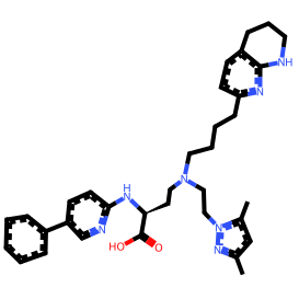 Cc1cc(C)n(CCN(CCCCc2ccc3c(n2)NCCC3)CC[C@H](Nc2ccc(-c3ccccc3)cn2)C(=O)O)n1